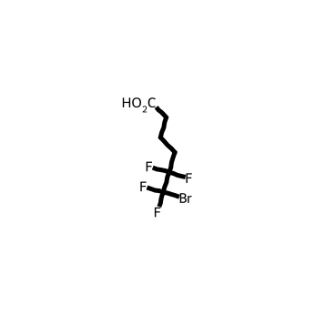 O=C(O)CCCC(F)(F)C(F)(F)Br